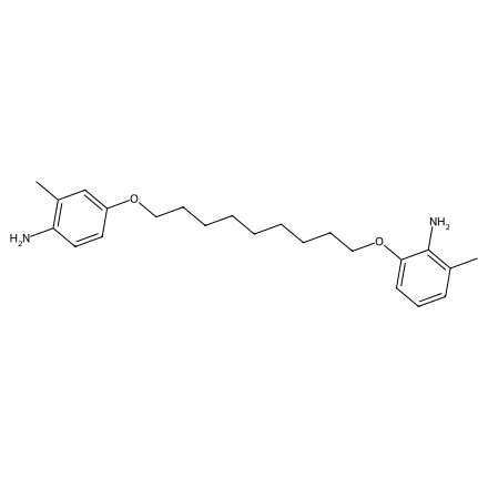 Cc1cc(OCCCCCCCCCOc2cccc(C)c2N)ccc1N